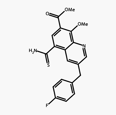 COC(=O)c1cc(C(N)=S)c2cc(Cc3ccc(F)cc3)cnc2c1OC